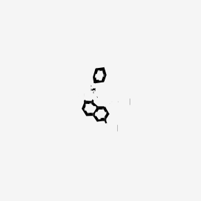 O=S(=O)(O)c1cc(S)cc2ccc(O)c(/N=N/c3ccccc3)c12